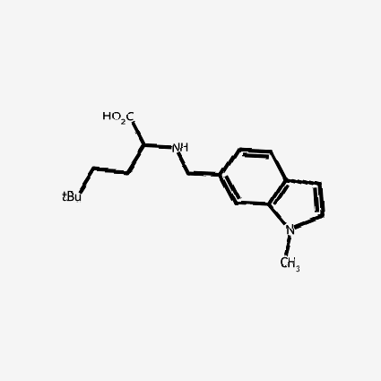 Cn1ccc2ccc(CNC(CCC(C)(C)C)C(=O)O)cc21